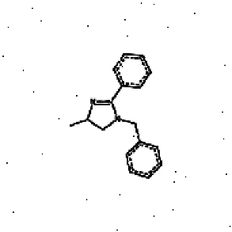 CC1CN(Cc2ccccc2)C(c2ccccc2)=N1